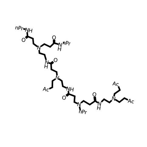 CCCNC(=O)CCN(CCNC(=O)CCN(CCNC(=O)CCN(CCC)CCC(=O)NCCN(CCC(C)=O)CCC(C)=O)CCC(C)=O)CCC(=O)NCCC